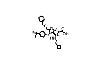 O=C(O)c1nc(NCCC2CCC2)c2c(n1)nc(COCc1ccccc1)n2Cc1ccc(C(F)(F)F)cc1